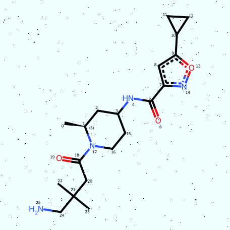 C[C@H]1CC(NC(=O)c2cc(C3CC3)on2)CCN1C(=O)CC(C)(C)CN